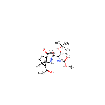 COC(=O)[C@H]1[C@@H]2CC[C@@](NC(=O)[C@@H](NC(=O)OC(C)(C)C)[C@@H](C)O[Si](C)(C)C(C)(C)C)(C(=O)OC)[C@@H]21